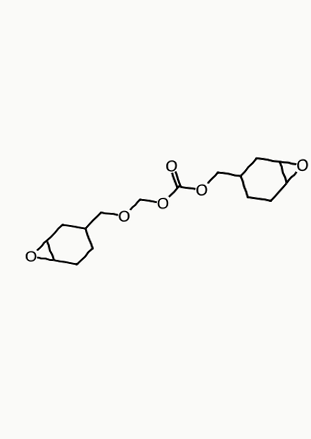 O=C(OCOCC1CCC2OC2C1)OCC1CCC2OC2C1